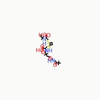 CCC(C)(C)NC(CSC1CCC1SCC(NC(=O)C(C)(C)CCOCNCC(=O)C(C)(C)C)C(=O)O)C(=O)O